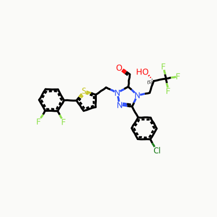 O=CC1N(Cc2ccc(-c3cccc(F)c3F)s2)N=C(c2ccc(Cl)cc2)N1C[C@H](O)C(F)(F)F